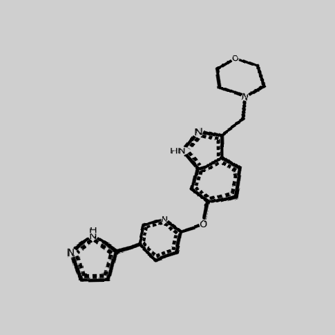 c1cc(-c2ccc(Oc3ccc4c(CN5CCOCC5)n[nH]c4c3)nc2)[nH]n1